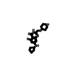 O=c1[nH]c(CSC2CCNCC2)nc2cc(NC3CCCC3)cc(F)c12